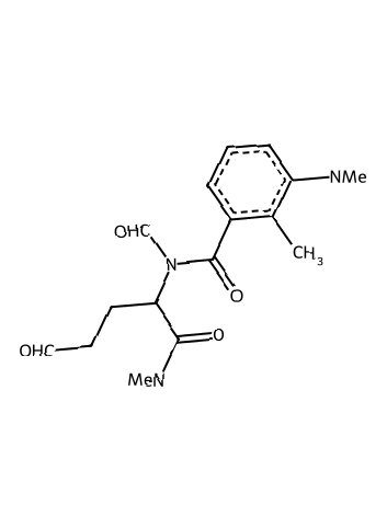 CNC(=O)C(CCC=O)N(C=O)C(=O)c1cccc(NC)c1C